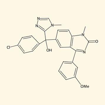 COc1cccc(-c2nc(=O)n(C)c3ccc(C(O)(c4ccc(Cl)cc4)c4nncn4C)cc23)c1